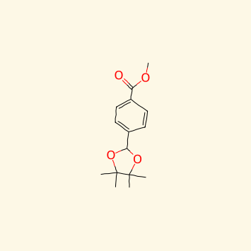 COC(=O)c1ccc(C2OC(C)(C)C(C)(C)O2)cc1